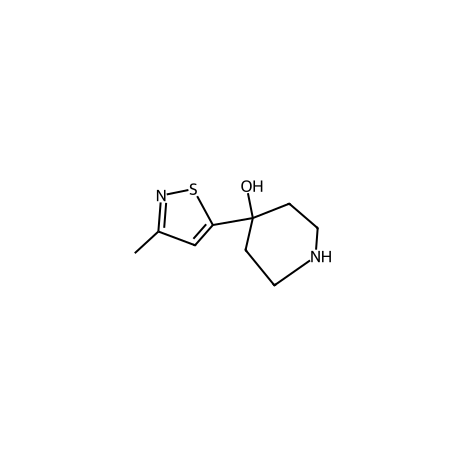 Cc1cc(C2(O)CCNCC2)sn1